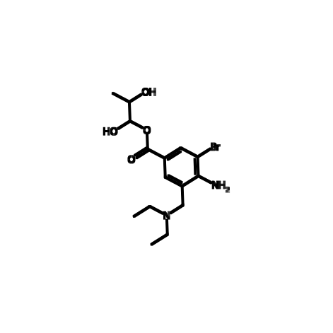 CCN(CC)Cc1cc(C(=O)OC(O)C(C)O)cc(Br)c1N